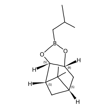 CC(C)CB1O[C@H]2[C@H]3C[C@@H](C[C@H]2O1)C3(C)C